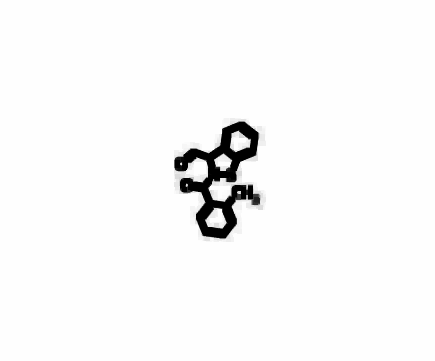 Cc1ccccc1C(=O)N1Sc2ccccc2C1C=O